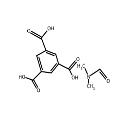 CN(C)C=O.O=C(O)c1cc(C(=O)O)cc(C(=O)O)c1